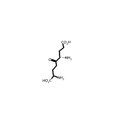 NC(CCC(=O)[C@@H](N)CCC(=O)O)C(=O)O